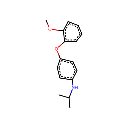 COc1ccccc1Oc1ccc(NC(C)C)cc1